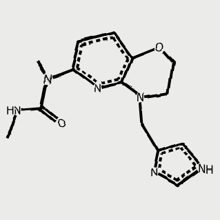 CNC(=O)N(C)c1ccc2c(n1)N(Cc1c[nH]cn1)CCO2